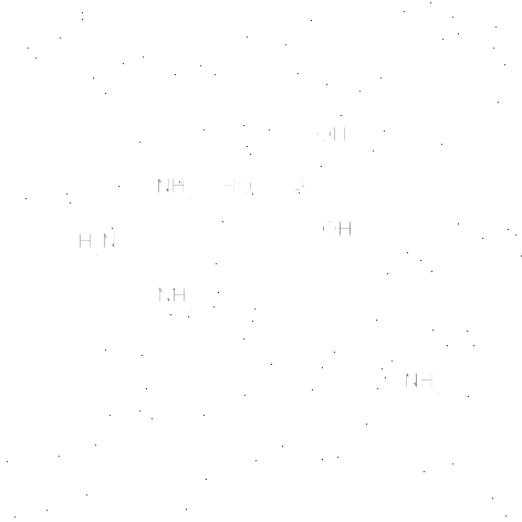 NCCCCCC(N)(N)N.OB(O)O